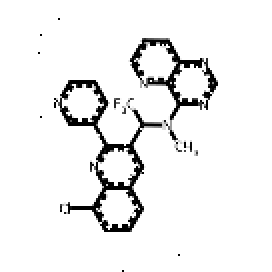 CN(c1ncnc2cccnc12)C(c1cc2cccc(Cl)c2nc1-c1cccnc1)C(F)(F)F